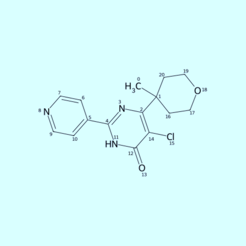 CC1(c2nc(-c3ccncc3)[nH]c(=O)c2Cl)CCOCC1